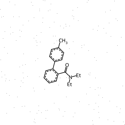 CCN(CC)C(=O)c1ccccc1-c1ccc(C)cc1